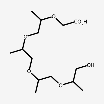 CC(CO)OCC(C)OCC(C)OCC(C)OCC(=O)O